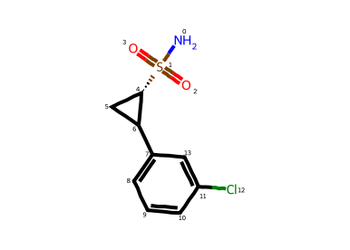 NS(=O)(=O)[C@H]1CC1c1cccc(Cl)c1